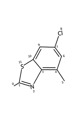 Cc1nc2c(C)cc(Cl)cc2s1